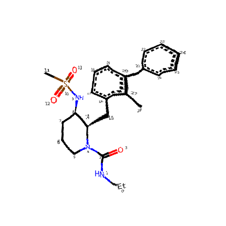 CCNC(=O)N1CCC[C@@H](NS(C)(=O)=O)[C@H]1Cc1cccc(-c2ccccc2)c1C